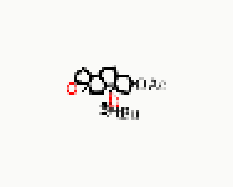 CC(=O)O[C@H]1CC[C@@]2(CO[Si](C)(C)C(C)(C)C)C(=CCC3C2CC[C@]2(C)C(=O)CCC32)C1